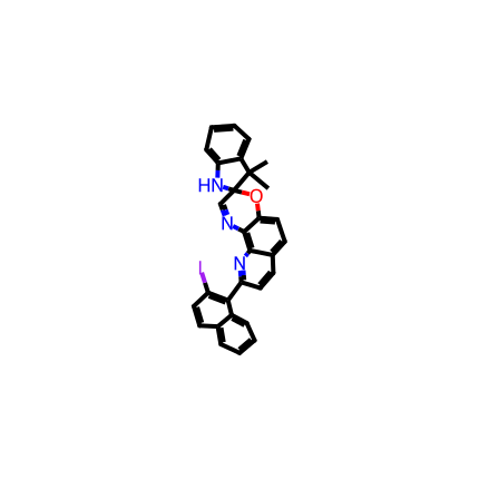 CC1(C)c2ccccc2NC12C=Nc1c(ccc3ccc(-c4c(I)ccc5ccccc45)nc13)O2